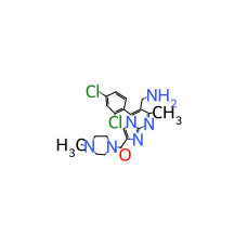 Cc1nc2nc(C(=O)N3CCN(C)CC3)cn2c(-c2ccc(Cl)cc2Cl)c1CN